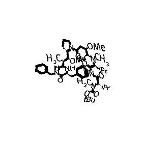 CC[C@H](C)[C@@H]([C@@H](CC(=O)N1CCC[C@H]1[C@H](OC)[C@@H](C)C(=O)N[C@@H](Cc1ccccc1)C(=O)NCc1ccccc1)OC)N(C)[C@H](C(=O)NC(=O)[C@H](C(C)C)N(C)C(=O)OC(C)(C)C)C(C)C